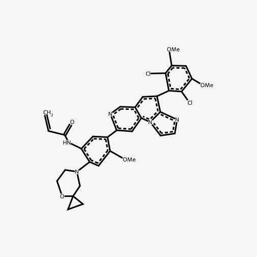 C=CC(=O)Nc1cc(-c2cc3c(cn2)cc(-c2c(Cl)c(OC)cc(OC)c2Cl)c2nccn23)c(OC)cc1N1CCOC2(CC2)C1